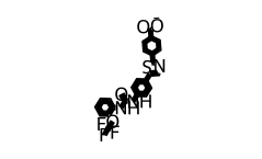 COC(=O)C1CCC(c2ncc(-c3ccc(NC(=O)Nc4ccccc4OC(F)(F)F)cc3)s2)CC1